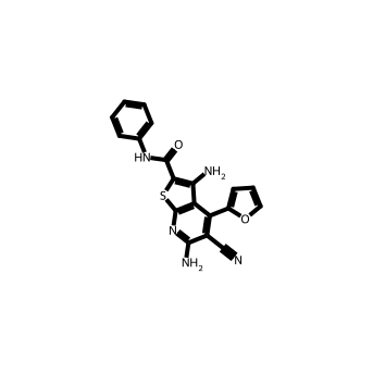 N#Cc1c(N)nc2sc(C(=O)Nc3ccccc3)c(N)c2c1-c1ccco1